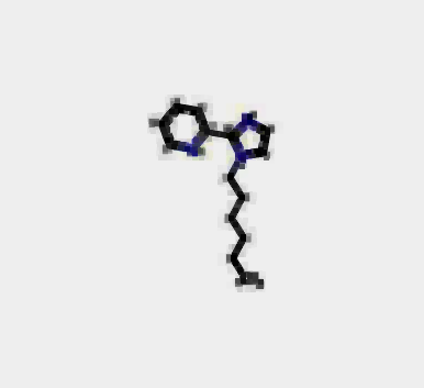 CCCCCCn1ccnc1-c1ccccn1